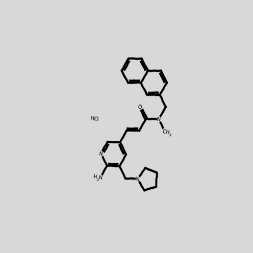 CN(Cc1ccc2ccccc2c1)C(=O)C=Cc1cnc(N)c(CN2CCCC2)c1.Cl